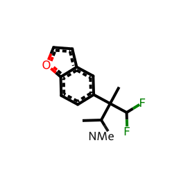 CNC(C)C(C)(c1ccc2occc2c1)C(F)F